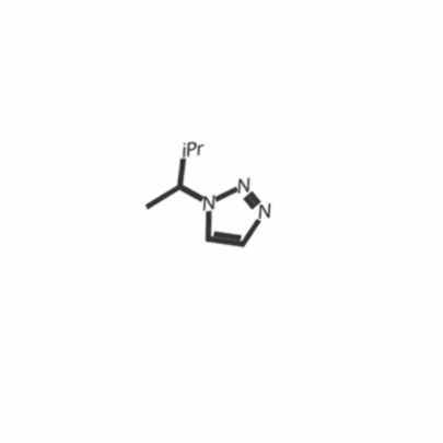 CC(C)C(C)n1ccnn1